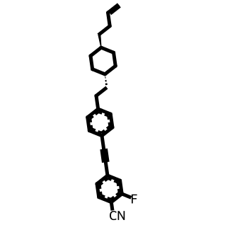 C=CCC[C@H]1CC[C@H](CCc2ccc(C#Cc3ccc(C#N)c(F)c3)cc2)CC1